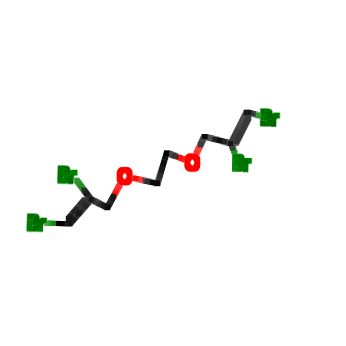 BrC=C(Br)COCCOCC(Br)=CBr